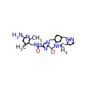 Cc1cc(N)nc(C)c1CNC(=O)c1cn2c(n1)C(=O)Nc1cc(Cn3nccc3C)ccc1C2